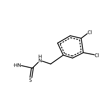 [NH]C(=S)NCc1ccc(Cl)c(Cl)c1